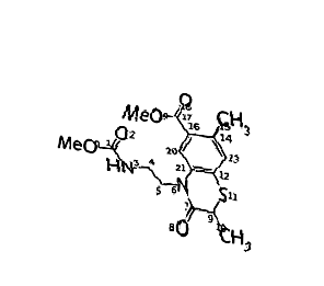 COC(=O)NCCN1C(=O)C(C)Sc2cc(C)c(C(=O)OC)cc21